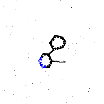 COc1cnn[c]c1-c1ccccc1